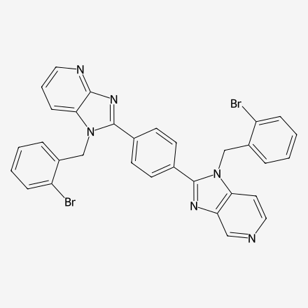 Brc1ccccc1Cn1c(-c2ccc(-c3nc4ncccc4n3Cc3ccccc3Br)cc2)nc2cnccc21